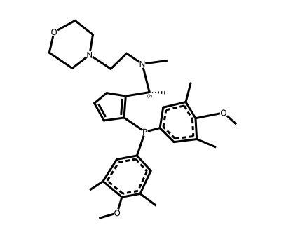 COc1c(C)cc(P(C2=C([C@@H](C)N(C)CCN3CCOCC3)CC=C2)c2cc(C)c(OC)c(C)c2)cc1C